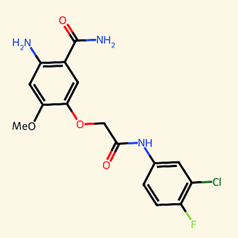 COc1cc(N)c(C(N)=O)cc1OCC(=O)Nc1ccc(F)c(Cl)c1